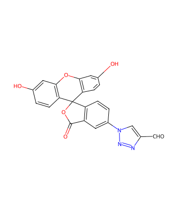 O=Cc1cn(-c2ccc3c(c2)C(=O)OC32c3ccc(O)cc3Oc3cc(O)ccc32)nn1